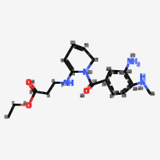 CCOC(=O)CCNC1=CC=CCN1C(=O)c1ccc(NC)c(N)c1